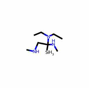 CCN(CC)C([SiH3])(CNC)NC